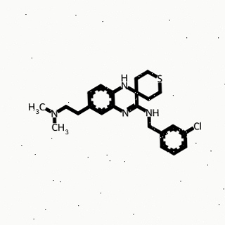 CN(C)CCc1ccc2c(c1)N=C(NCc1cccc(Cl)c1)C1(CCSCC1)N2